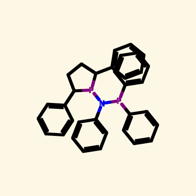 c1ccc(C2CCC(c3ccccc3)P2N(c2ccccc2)P(c2ccccc2)c2ccccc2)cc1